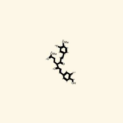 COC(=O)CCC(C(=O)/C=C/c1ccc(CO)c(F)c1)C(=O)/C=C/c1ccc(OC)c(F)c1